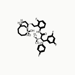 CN(C(=O)O)[C@H](C(=O)Nc1cccc(F)c1CC[C@H]1CN[C@@H]2CCCCS(O)(O)N1C2)[C@@H](c1ccc(F)cc1)c1cc(F)cc(F)c1